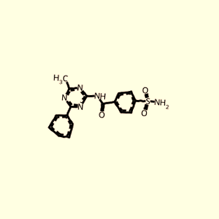 Cc1nc(NC(=O)c2ccc(S(N)(=O)=O)cc2)nc(-c2ccccc2)n1